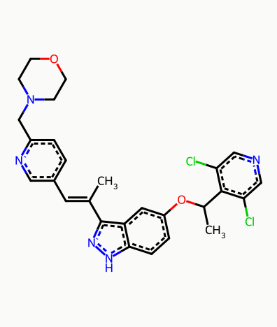 C/C(=C\c1ccc(CN2CCOCC2)nc1)c1n[nH]c2ccc(OC(C)c3c(Cl)cncc3Cl)cc12